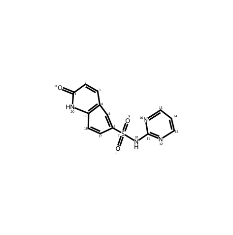 O=c1ccc2cc(S(=O)(=O)Nc3ncccn3)ccc2[nH]1